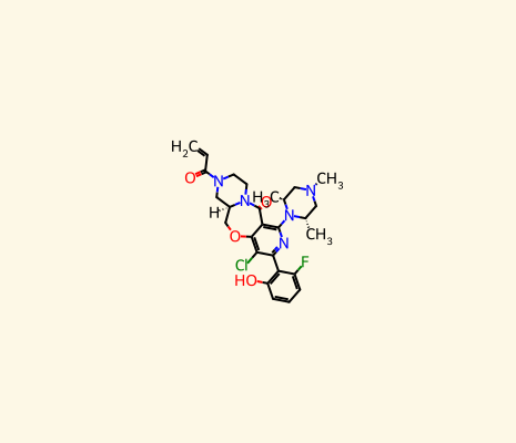 C=CC(=O)N1CCN2C(=O)c3c(N4[C@H](C)CN(C)C[C@@H]4C)nc(-c4c(O)cccc4F)c(Cl)c3OC[C@H]2C1